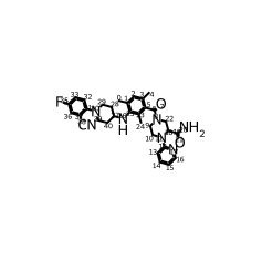 Cc1cc(C)c(C(=O)N2CCN(c3ccccn3)C(C(N)=O)C2)c(C)c1NC1CCN(c2ccc(F)cc2C#N)CC1